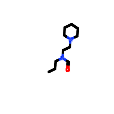 CCCN(C=O)CCN1CCCCC1